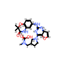 CN(CC1CCN(c2nc(Nc3ccc4c(c3)NC(=O)C(C)(C)O4)nc3ccoc23)C1)C(=O)O